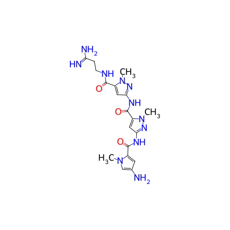 Cn1cc(N)cc1C(=O)Nc1cc(C(=O)Nc2cc(C(=O)NCCC(=N)N)n(C)n2)n(C)n1